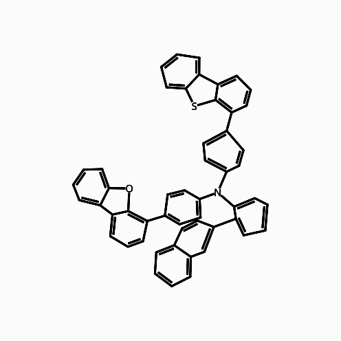 c1ccc(N(c2ccc(-c3cccc4c3oc3ccccc34)cc2)c2ccc(-c3cccc4c3sc3ccccc34)cc2)c(-c2ccc3ccccc3c2)c1